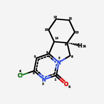 O=c1nc(Cl)cc2n1C[C@@H]1CCCCC21